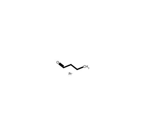 CCCC=O.[Pr]